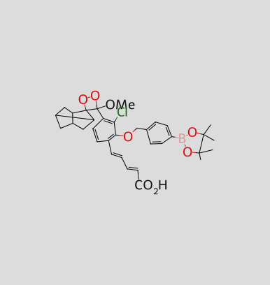 COC1(c2ccc(/C=C/C=C/C(=O)O)c(OCc3ccc(B4OC(C)(C)C(C)(C)O4)cc3)c2Cl)OOC12C1CC3CC1CC32